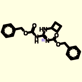 O=C(/N=C(/NC(=O)OCc1ccccc1)NC1CCC1)OCc1ccccc1